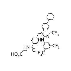 O=C(O)CCNC(=O)c1ccc(CN(/C(=N\CC(F)(F)F)Nc2cc(C(F)(F)F)cc(C(F)(F)F)c2)c2ccc(C3=CCCCC3)cc2)cc1